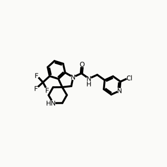 O=C(NCc1ccnc(Cl)c1)N1CC2(CCNCC2)c2c1cccc2C(F)(F)F